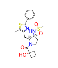 Cc1sc(-c2ccccc2)nc1C[C@H]1[C@@H](NS(C)(=O)=O)CCN1C(=O)C1(O)CCC1